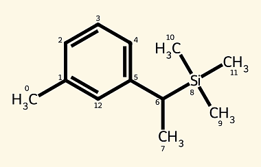 Cc1cccc(C(C)[Si](C)(C)C)c1